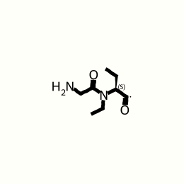 CC[C@@H]([C]=O)N(CC)C(=O)CN